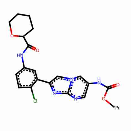 CC(C)OC(=O)Nc1cnc2nc(-c3cc(NC(=O)C4CCCCO4)ccc3Cl)cn2c1